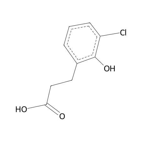 O=C(O)CCc1cccc(Cl)c1O